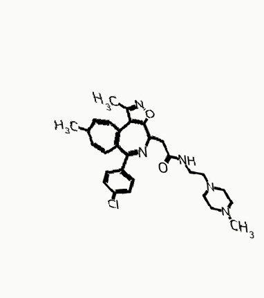 Cc1noc2c1C1=C(C=CC(C)C=C1)C(c1ccc(Cl)cc1)=NC2CC(=O)NCCN1CCN(C)CC1